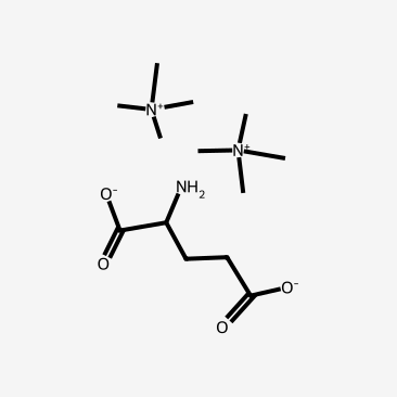 C[N+](C)(C)C.C[N+](C)(C)C.NC(CCC(=O)[O-])C(=O)[O-]